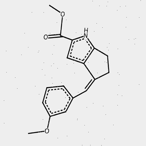 COC(=O)c1cc2c([nH]1)CCC2=Cc1cccc(OC)c1